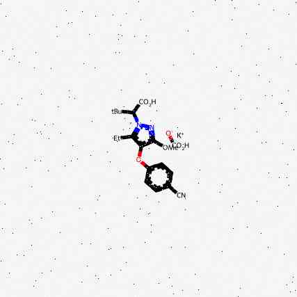 CCc1c(Oc2ccc(C#N)cc2)c(OC)nn1C(C(=O)O)C(C)(C)C.O=C([O-])O.[K+]